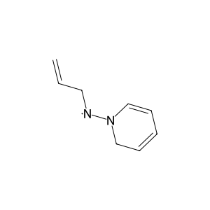 C=CC[N]N1C=CC=CC1